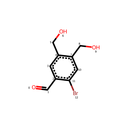 O=Cc1cc(CO)c(CO)cc1Br